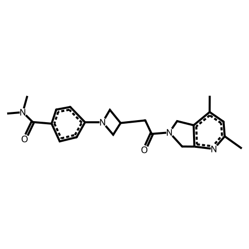 Cc1cc(C)c2c(n1)CN(C(=O)CC1CN(c3ccc(C(=O)N(C)C)cc3)C1)C2